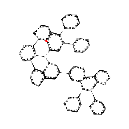 c1ccc(-c2ccc(N(c3cccc(-c4ccc5c(c4)c(-c4ccccc4)c(-c4ccccc4)c4ccccc45)c3)c3c(-c4ccccc4)cccc3-c3ccccc3)cc2-c2ccccc2)cc1